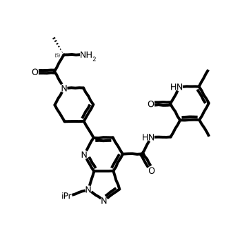 Cc1cc(C)c(CNC(=O)c2cc(C3=CCN(C(=O)[C@H](C)N)CC3)nc3c2cnn3C(C)C)c(=O)[nH]1